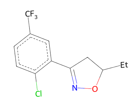 CCC1CC(c2cc(C(F)(F)F)ccc2Cl)=NO1